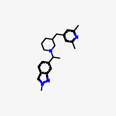 Cc1cc(CC2CCCN(C(C)c3ccc4cn(C)nc4c3)C2)cc(C)n1